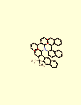 CC1(C)c2cc3ccccc3cc2-c2c(N(c3ccccc3-c3ccccc3)c3ccc4ccccc4c3-c3cccc4ccccc34)cccc21